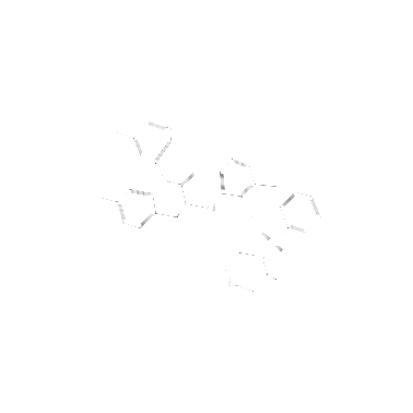 C[C@H]1CNC[C@H](CCc2c(F)cccc2N[C@@H](Cc2ccc(Cl)cc2)C(=O)Nc2cncc(F)c2)N1S(=O)(=O)c1ccccc1